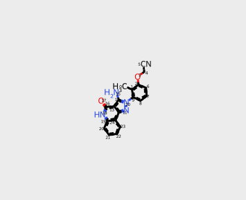 Cc1c(OCC#N)cccc1-n1nc2c(c1N)c(=O)[nH]c1ccccc12